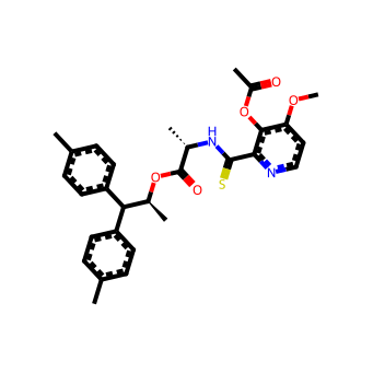 COc1ccnc(C(=S)N[C@@H](C)C(=O)O[C@@H](C)C(c2ccc(C)cc2)c2ccc(C)cc2)c1OC(C)=O